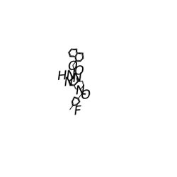 Cc1ccc(C(=O)N2CCc3nc(NC(=O)Oc4cccc5ccccc45)ncc3C2)cc1F